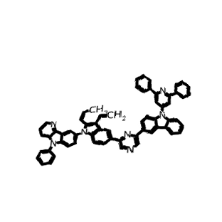 C=Cc1c(/C=C\C)n(-c2ccc3c(c2)c2ncccc2n3-c2ccccc2)c2ccc(-c3cncc(-c4ccc5c(c4)c4ccccc4n5-c4cc(-c5ccccc5)nc(-c5ccccc5)c4)n3)cc12